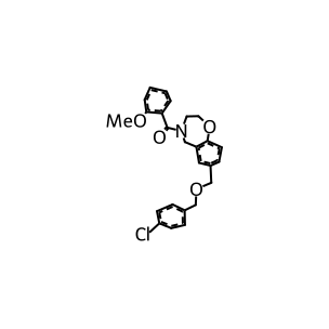 COc1ccccc1C(=O)N1CCOc2ccc(COCc3ccc(Cl)cc3)cc2C1